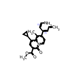 C=C/C=C(\C=C/N)c1ccn2c(=O)c(C(=O)OC)cc(C3CC3)c2c1C